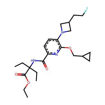 CCOC(=O)C(CC)(CC)NC(=O)c1ccc(N2CC(CCF)C2)c(OCC2CC2)n1